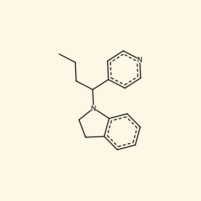 CCCC(c1ccncc1)N1CCc2ccccc21